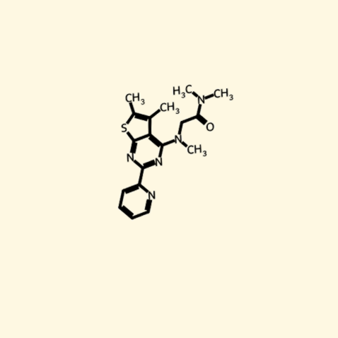 Cc1sc2nc(-c3ccccn3)nc(N(C)CC(=O)N(C)C)c2c1C